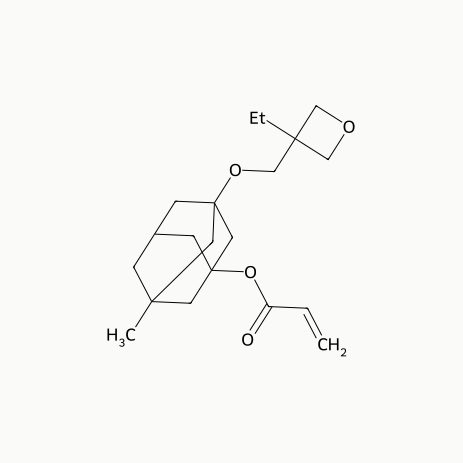 C=CC(=O)OC12CC3CC(C)(CC(OCC4(CC)COC4)(C3)C1)C2